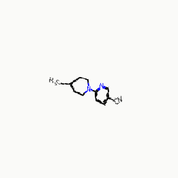 CC1CCN(c2ccc(C#N)cn2)CC1